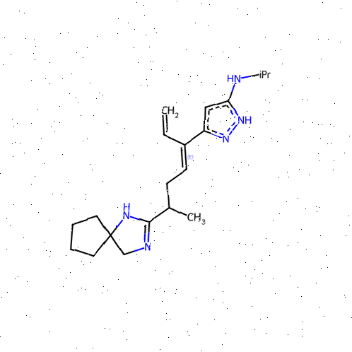 C=C/C(=C\CC(C)C1=NCC2(CCCC2)N1)c1cc(NC(C)C)[nH]n1